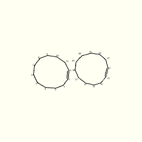 C1=CCCCCCCCCCC1.C1=CCCCCCCCCCC1